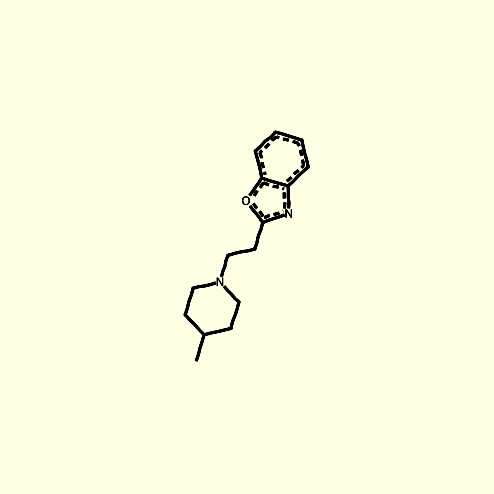 CC1CCN(CCc2nc3ccccc3o2)CC1